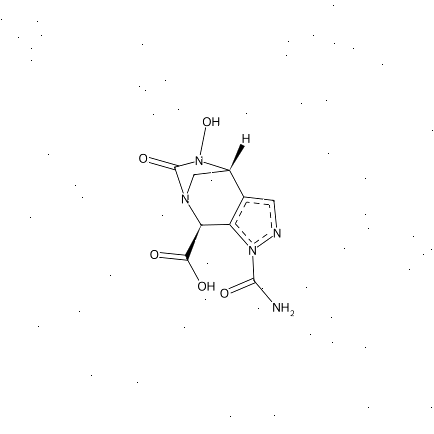 NC(=O)n1ncc2c1[C@@H](C(=O)O)N1C[C@@H]2N(O)C1=O